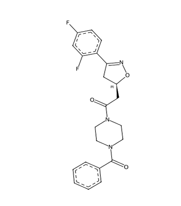 O=C(C[C@H]1CC(c2ccc(F)cc2F)=NO1)N1CCN(C(=O)c2ccccc2)CC1